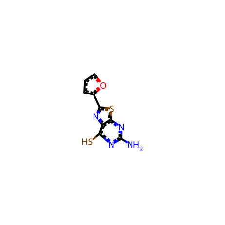 Nc1nc(S)c2nc(-c3ccco3)sc2n1